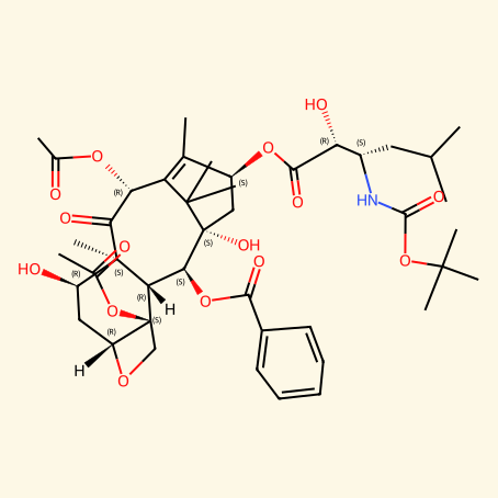 CC(=O)O[C@H]1C(=O)[C@]2(C)[C@H](O)C[C@H]3OC[C@@]3(OC(C)=O)[C@H]2[C@H](OC(=O)c2ccccc2)[C@]2(O)C[C@H](OC(=O)[C@H](O)[C@H](CC(C)C)NC(=O)OC(C)(C)C)C(C)=C1C2(C)C